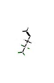 CC(=CC(C)(C)C(F)(F)C(F)F)C(=O)O